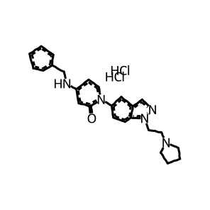 Cl.Cl.O=c1cc(NCc2ccccc2)ccn1-c1ccc2c(cnn2CCN2CCCC2)c1